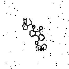 CCC(Oc1cccc2c1C(=O)c1cccc(OC(CC)C3CCCN3)c1-2)C1CCCN1